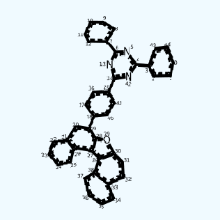 c1ccc(-c2nc(-c3ccccc3)nc(-c3ccc(-c4cc5ccccc5c5c4oc4ccc6ccccc6c45)cc3)n2)cc1